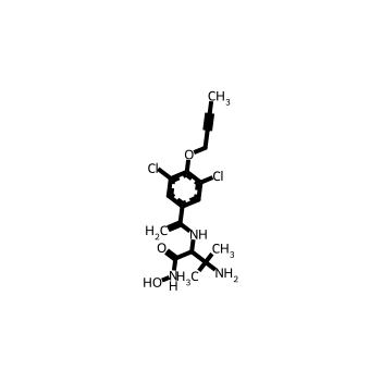 C=C(NC(C(=O)NO)C(C)(C)N)c1cc(Cl)c(OCC#CC)c(Cl)c1